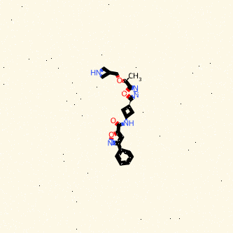 C[C@@H](OCC1CNC1)c1nnc([C@H]2C[C@H](NC(=O)c3cc(-c4ccccc4)no3)C2)o1